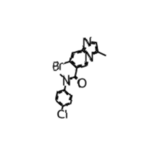 Cc1cnc2cc(Br)c(C(=O)N(C)c3ccc(Cl)cc3)cn12